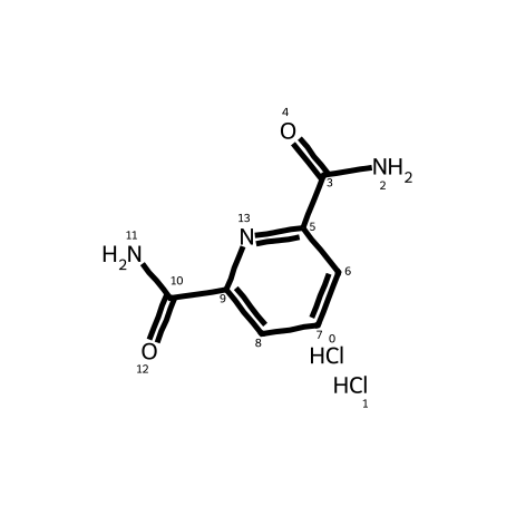 Cl.Cl.NC(=O)c1cccc(C(N)=O)n1